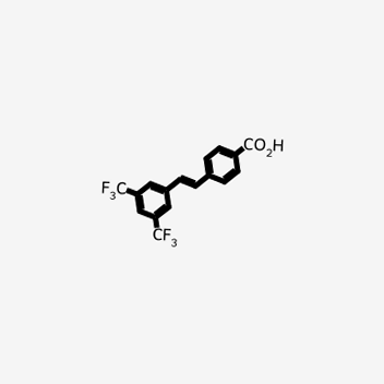 O=C(O)c1ccc(C=Cc2cc(C(F)(F)F)cc(C(F)(F)F)c2)cc1